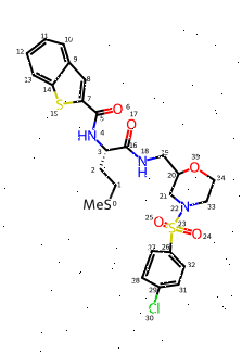 CSCC[C@H](NC(=O)c1cc2ccccc2s1)C(=O)NCC1CN(S(=O)(=O)c2ccc(Cl)cc2)CCO1